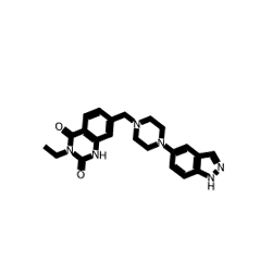 CCn1c(=O)[nH]c2cc(CN3CCN(c4ccc5[nH]ncc5c4)CC3)ccc2c1=O